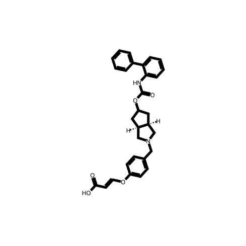 O=C(O)C=COc1ccc(CN2C[C@H]3CC(OC(=O)Nc4ccccc4-c4ccccc4)C[C@H]3C2)cc1